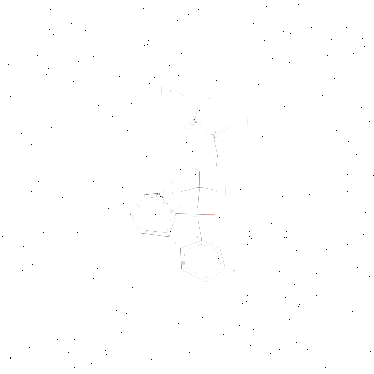 C=C(C(=O)OC)[C@H](C)CC(C)(C)[Si](O)(c1ccccc1)c1ccccc1